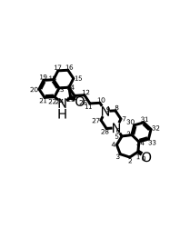 O=C1CCCC(N2CCN(CCCCC34CCCc5cccc(c53)NC4=O)CC2)c2ccccc21